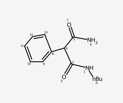 CCCCNC(=O)C(C(N)=O)c1ccccc1